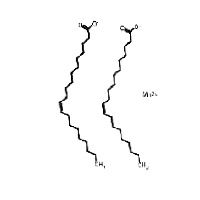 CCCCCCCC/C=C\CCCCCCCCCC(=O)[O-].CCCCCCCC/C=C\CCCCCCCCCC(=O)[O-].[Mn+2]